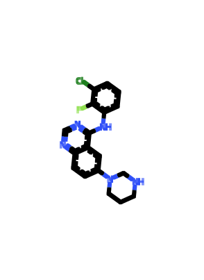 Fc1c(Cl)cccc1Nc1ncnc2ccc(N3CCCNC3)cc12